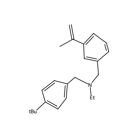 C=C(C)c1cccc(CN(CC)Cc2ccc(C(C)(C)C)cc2)c1